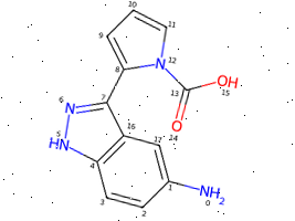 Nc1ccc2[nH]nc(-c3cccn3C(=O)O)c2c1